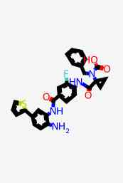 Nc1ccc(-c2cccs2)cc1NC(=O)c1ccc(NC(=O)C2(N(Cc3ccccc3)C(=O)O)CC2)c(F)c1